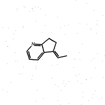 CC=C1CCc2ncccc21